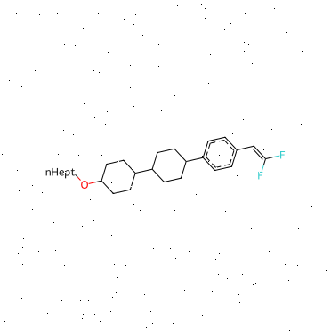 CCCCCCCOC1CCC(C2CCC(c3ccc(C=C(F)F)cc3)CC2)CC1